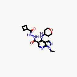 CCn1ncc2c(NC3CCOCC3)c(C(=O)NNC(=O)C3CCC3)cnc21